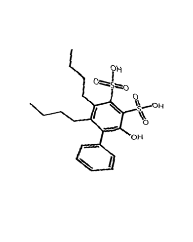 CCCCc1c(CCCC)c(S(=O)(=O)O)c(S(=O)(=O)O)c(O)c1-c1ccccc1